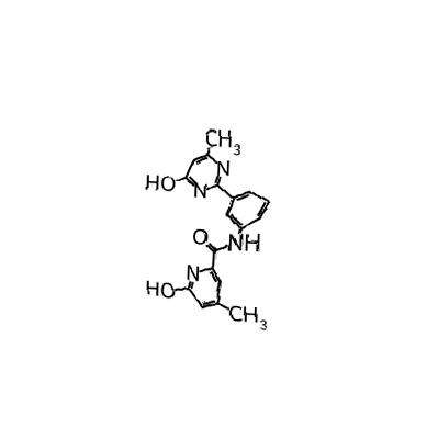 Cc1cc(O)nc(C(=O)Nc2cccc(-c3nc(C)cc(O)n3)c2)c1